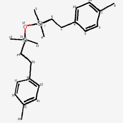 Cc1ccc(CC[Si](C)(C)O[Si](C)(C)CCc2ccc(C)cc2)cc1